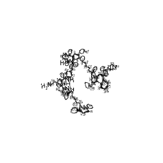 COc1cc2c(cc1OCCCCCC(=O)N1C[C@@H](CCl)c3c1cc(OC(=O)N1CCN(C)CC1)c1ccccc31)N(C(=O)OCc1ccc(NC(=O)[C@H](CCCCN)NC(=O)[C@@H](NC(=O)CCCCCN3C(=O)C=CC3=O)C(C)C)cc1)[C@@H](O)C1CCCN1C2=O